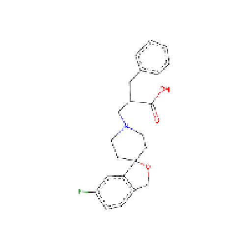 O=C(O)C(Cc1ccccc1)CN1CCC2(CC1)OCc1ccc(F)cc12